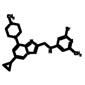 Cc1cc(NCc2cn3cc(C4CC4)cc(N4CCN(C)CC4)c3n2)cc(Br)n1